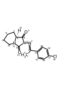 C/C(=N\N1C(=O)[C@@H]2CCCCN2C1=O)c1ccc(Cl)cc1